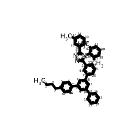 CCCCc1ccc(-c2cc(-c3ccccc3)cc(-c3cccc(-c4nnc(-c5cccc(C)c5)n4-c4c(C)cccc4C)c3)c2)cc1